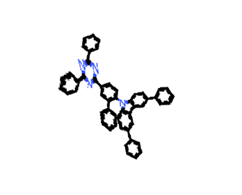 c1ccc(-c2ccc3c(c2)c2cc(-c4ccccc4)ccc2n3-c2ccc(-c3nc(-c4ccccc4)nc(-c4ccccc4)n3)cc2-c2ccccc2)cc1